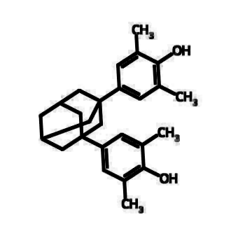 Cc1cc(C23CC4CC(C2)CC(c2cc(C)c(O)c(C)c2)(C4)C3)cc(C)c1O